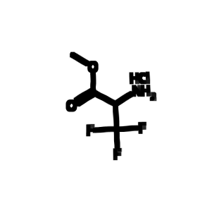 COC(=O)C(N)C(F)(F)F.Cl